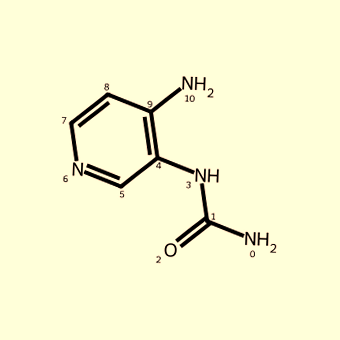 NC(=O)Nc1cnccc1N